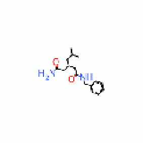 CC(C)C[C@H](CC(N)=O)CC(=O)NCc1ccccc1